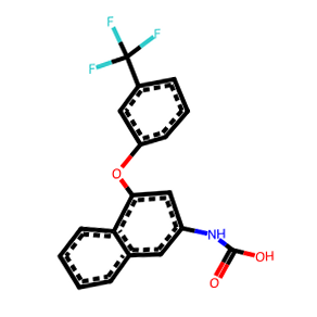 O=C(O)Nc1cc(Oc2cccc(C(F)(F)F)c2)c2ccccc2c1